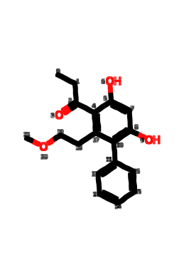 CCC(=O)c1c(O)cc(O)c(-c2ccccc2)c1CCOC